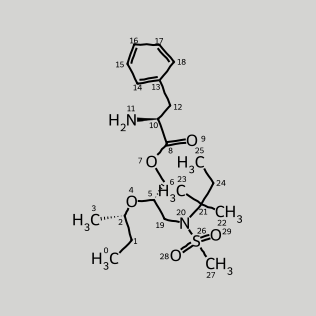 CC[C@H](C)O[C@H](COC(=O)[C@@H](N)Cc1ccccc1)CN(C(C)(C)CC)S(C)(=O)=O